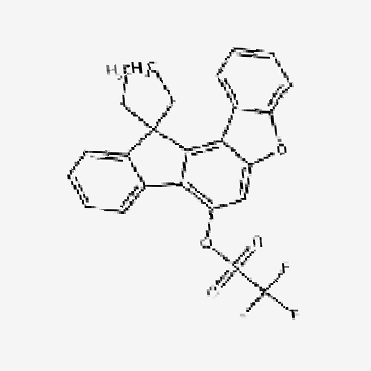 CCC1(CC)c2ccccc2-c2c(OS(=O)(=O)C(F)(F)F)cc3oc4ccccc4c3c21